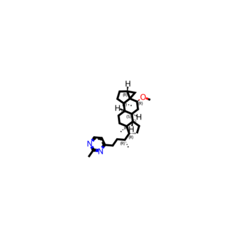 CO[C@@H]1C[C@H]2[C@@H]3CC[C@H]([C@H](C)CCc4ccnc(C)n4)[C@@]3(C)CC[C@@H]2[C@@]2(C)CC[C@@H]3CC312